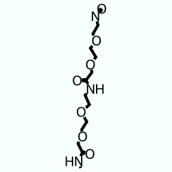 CNC(=O)COCCOCCNC(=O)COCCOCCN=O